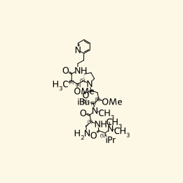 CC[C@H](C)[C@@H]([C@@H](CC(=O)N1CCC[C@H]1[C@H](OC)[C@@H](C)C(=O)NCCc1ccccn1)OC)N(C)C(=O)[C@H](CN)NC(=O)[C@H](C(C)C)N(C)C